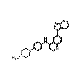 CN1CCN(c2ccc(Nc3ccnc4ccc(-c5csc6ccccc56)cc34)cc2)CC1